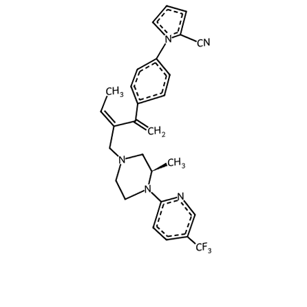 C=C(/C(=C\C)CN1CCN(c2ccc(C(F)(F)F)cn2)[C@H](C)C1)c1ccc(-n2cccc2C#N)cc1